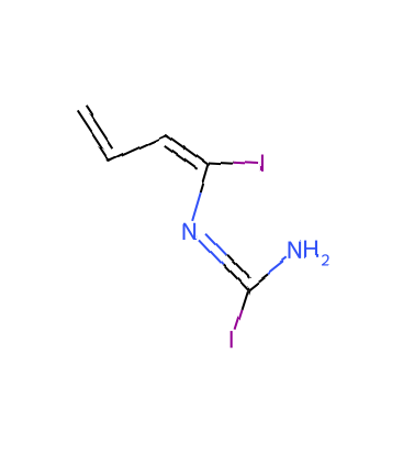 C=C/C=C(I)\N=C(/N)I